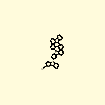 N#Cc1ccc2c(c1)c1ccccc1n2-c1ccc2c(c1)c1ccccc1n2-c1ccccc1-c1ccccc1C1c2ccccc2-c2ccccc21